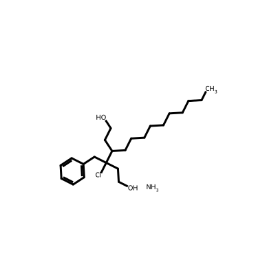 CCCCCCCCCCC(CCO)C(Cl)(CCO)Cc1ccccc1.N